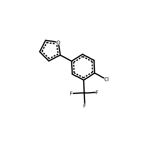 FC(F)(F)c1cc(-c2ccco2)ccc1Cl